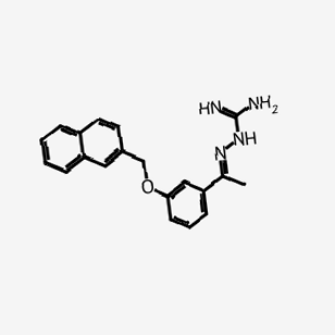 CC(=NNC(=N)N)c1cccc(OCc2ccc3ccccc3c2)c1